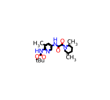 Cc1cc(NC(=O)C(=O)N2C[C@H](C)CC[C@H]2C)cnc1NC(=O)OC(C)(C)C